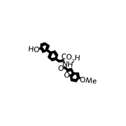 COc1ccc2oc(C(=O)N[C@@H](Cc3ccc(-c4cccc(O)c4)cc3)C(=O)O)cc2c1